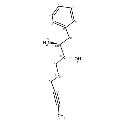 CC#CCNC[C@@H](O)[C@@H](N)Cc1ccccc1